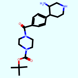 CC(C)(C)OC(=O)N1CCN(C(=O)c2ccc(C3CCNCC3N)cc2)CC1